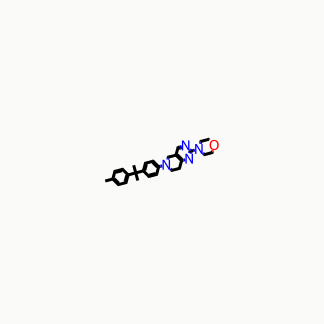 Cc1ccc(C(C)(C)c2ccc(N3CCc4nc(N5CCOCC5)ncc4C3)cc2)cc1